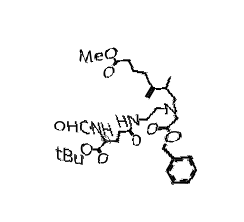 C=C(CCCC(=O)OC)C(C)CN(CCNC(=O)CC[C@H](NC=O)C(=O)OC(C)(C)C)CC(=O)OCc1ccccc1